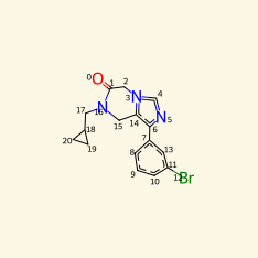 O=C1Cn2cnc(-c3cccc(Br)c3)c2CN1CC1CC1